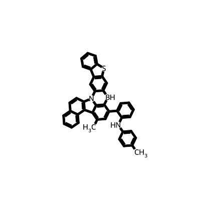 Cc1ccc(Nc2ccccc2-c2cc(C)c3c4c5ccccc5ccc4n4c3c2Bc2cc3sc5ccccc5c3cc2-4)cc1